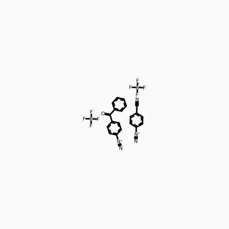 F[B-](F)(F)F.F[B-](F)(F)F.N#Cc1ccc([N+]#N)cc1.N#[N+]c1ccc(C(=O)c2ccccc2)cc1